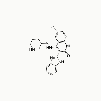 O=c1[nH]c2ccc(Cl)cc2c(NC[C@@H]2CCCNC2)c1-c1nc2ccccc2[nH]1